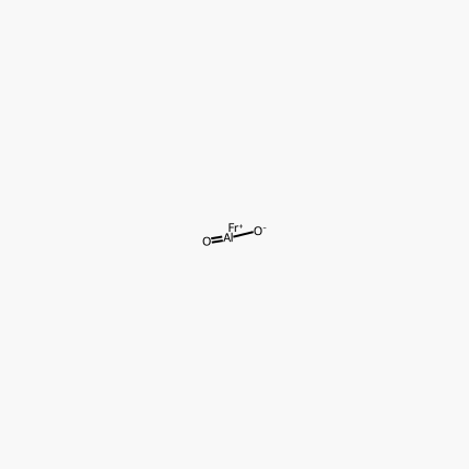 [Fr+].[O]=[Al][O-]